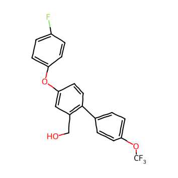 OCc1cc(Oc2ccc(F)cc2)ccc1-c1ccc(OC(F)(F)F)cc1